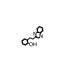 Oc1ccccc1CCc1cnc2ccccc2n1